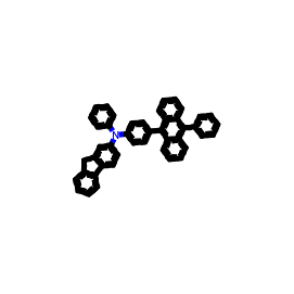 c1ccc(-c2c3ccccc3c(-c3ccc(N(c4ccccc4)c4ccc5c(c4)Cc4ccccc4-5)cc3)c3ccccc23)cc1